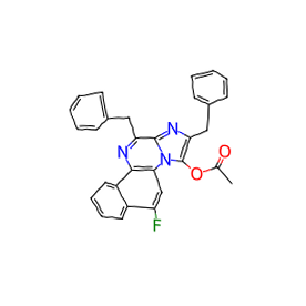 CC(=O)Oc1c(Cc2ccccc2)nc2c(Cc3ccccc3)nc3c4ccccc4c(F)cc3n12